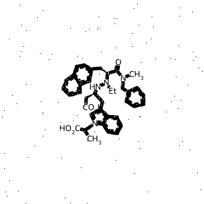 CCN(N[C@H](CC(=O)O)Cc1cn(C(C)C(=O)O)c2ccccc12)[C@@H](Cc1ccc2ccccc2c1)C(=O)N(C)Cc1ccccc1